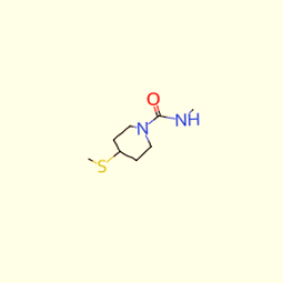 CNC(=O)N1CCC(SC)CC1